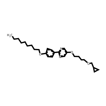 CCCCCCCCCOc1ccc(-c2ncc(OCCCCOCC3CC3)cn2)cc1